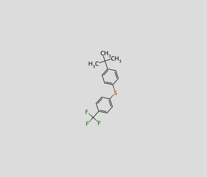 CC(C)(C)c1ccc(Sc2ccc(C(F)(F)F)cc2)cc1